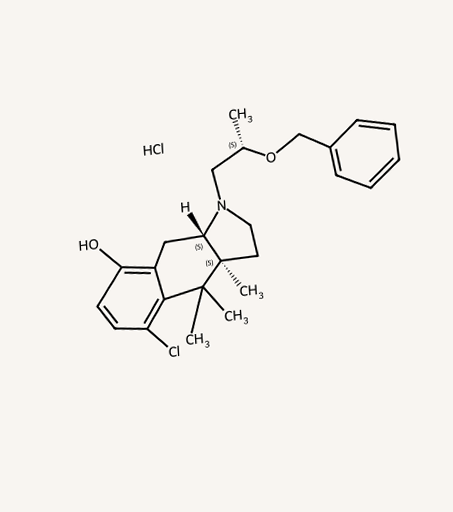 C[C@@H](CN1CC[C@]2(C)[C@@H]1Cc1c(O)ccc(Cl)c1C2(C)C)OCc1ccccc1.Cl